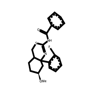 CO[C@H]1CCC2CSC(NC(=O)c3ccccc3)=NC2(c2ccccc2F)C1